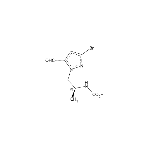 C[C@@H](Cn1nc(Br)cc1C=O)NC(=O)O